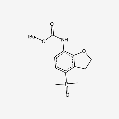 CC(C)(C)OC(=O)Nc1ccc(P(C)(C)=O)c2c1OCC2